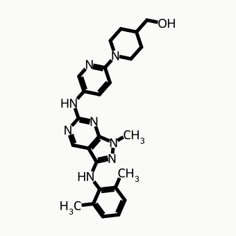 Cc1cccc(C)c1Nc1nn(C)c2nc(Nc3ccc(N4CCC(CO)CC4)nc3)ncc12